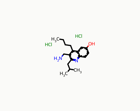 CCCCc1c(CN)c(CC(C)C)nc2ccc(O)cc12.Cl.Cl